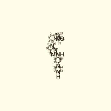 Cc1cccc(Cn2ccc3cnc(Nc4ccc(N5CCNCC5)cc4)nc32)c1N(C)S(C)(=O)=O